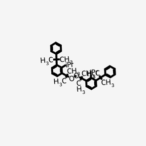 CC(C)c1c(C(C)(C)OOC(C)(C)c2cccc(C(C)(C)c3ccccc3)c2C(C)C)cccc1C(C)(C)c1ccccc1